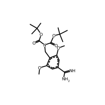 COc1cc(C(=N)N)cc(OC)c1CN(C(=O)OC(C)(C)C)C(=O)OC(C)(C)C